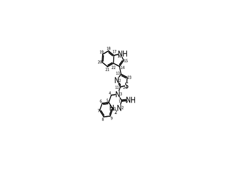 N=C(N)N(Cc1ccccc1)c1nc(-c2c[nH]c3ccccc23)cs1